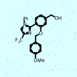 COc1ccc(COc2cc(CO)ccc2-c2nc(C(F)(F)F)cn2C(C)C)cc1